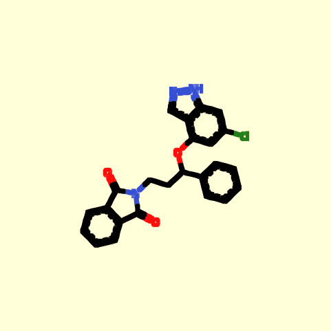 O=C1c2ccccc2C(=O)N1CCC(Oc1cc(Cl)cc2[nH]ncc12)c1ccccc1